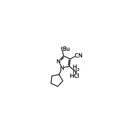 CC(C)(C)c1nn(C2CCCC2)c(N)c1C#N.Cl